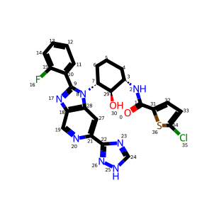 O=C(N[C@H]1CCC[C@@H](n2c(-c3ccccc3F)nc3cnc(-c4nc[nH]n4)cc32)[C@@H]1O)c1ccc(Cl)s1